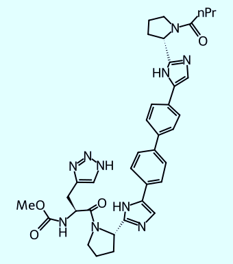 CCCC(=O)N1CCC[C@H]1c1ncc(-c2ccc(-c3ccc(-c4cnc([C@@H]5CCCN5C(=O)[C@H](Cc5c[nH]nn5)NC(=O)OC)[nH]4)cc3)cc2)[nH]1